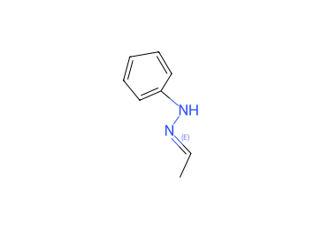 C/C=N/Nc1ccccc1